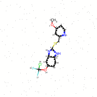 COc1ccnc(CSc2nc3cc(OC(F)(F)Cl)ccc3[nH]2)c1